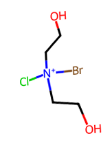 OCC[N+](Cl)(Br)CCO